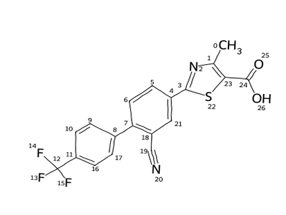 Cc1nc(-c2ccc(-c3ccc(C(F)(F)F)cc3)c(C#N)c2)sc1C(=O)O